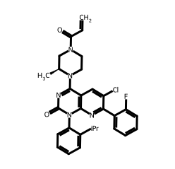 C=CC(=O)N1CCN(c2nc(=O)n(-c3ccccc3C(C)C)c3nc(-c4ccccc4F)c(Cl)cc23)[C@@H](C)C1